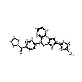 O=C(c1ccc(N(Cc2ccc(-c3noc(C(F)(F)F)n3)s2)c2cnccn2)nn1)N1CCCC1